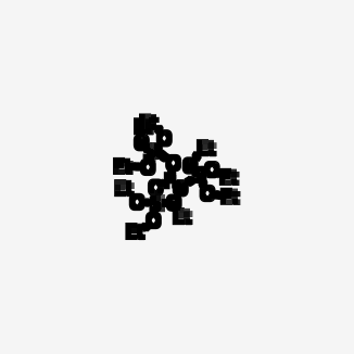 CCO[Si](OCC)(OCC)OP(O[Si](OCC)(OCC)OCC)O[Si](OCC)(OCC)OCC